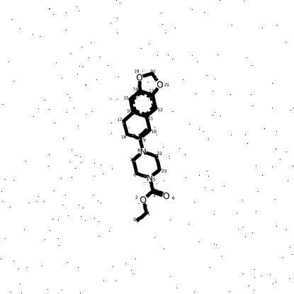 CCOC(=O)N1CCN(C2=Cc3cc4c(cc3CC2)OCO4)CC1